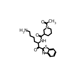 CC(=O)N1CCCC(C(=O)NC(CCCCN)C(=O)c2nc3ccccc3s2)C1